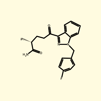 CC(C)[C@H](CCC(=O)c1nn(Cc2ccc(F)cc2)c2ccccc12)C(N)=O